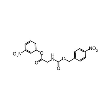 O=C(CNC(=O)OCc1ccc([N+](=O)[O-])cc1)Oc1cccc([N+](=O)[O-])c1